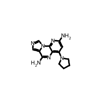 Nc1cc(N2CCCC2)c2nc(N)c3cncn3c2n1